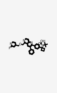 CC(C)(C)N(C(=O)O)C1(c2ccc(-c3nc4ccnc(COCc5ccnc(F)c5)c4cc3-c3ccccc3)cc2)CCC1